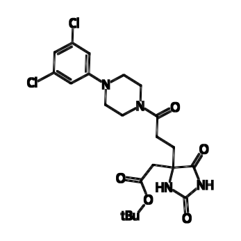 CC(C)(C)OC(=O)CC1(CCC(=O)N2CCN(c3cc(Cl)cc(Cl)c3)CC2)NC(=O)NC1=O